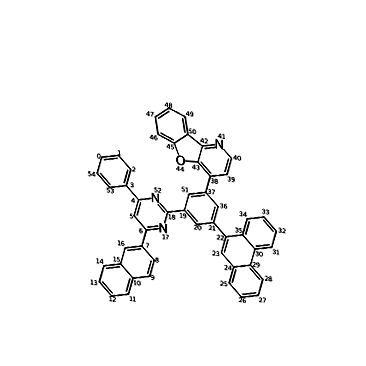 c1ccc(-c2cc(-c3ccc4ccccc4c3)nc(-c3cc(-c4cc5ccccc5c5ccccc45)cc(-c4ccnc5c4oc4ccccc45)c3)n2)cc1